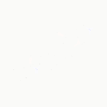 CN1CCC2(CC1)CC(=O)c1cc(-c3ccc(NC(=O)c4c(F)cccc4F)cc3)ccc1O2